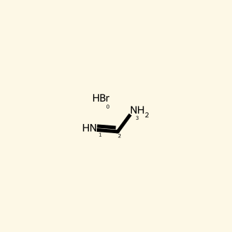 Br.N=CN